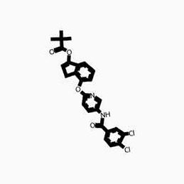 CC(C)(C)C(=O)OC1=CCc2c(Oc3ccc(NC(=O)c4ccc(Cl)c(Cl)c4)cn3)cccc21